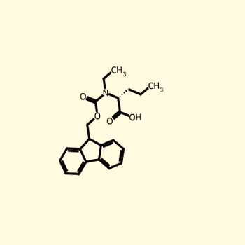 CCC[C@H](C(=O)O)N(CC)C(=O)OCC1c2ccccc2-c2ccccc21